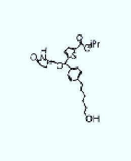 CC(C)OC(=O)c1ccc(C(OC[C@H]2CCC(=O)N2)c2ccc(CCCCCCO)cc2)s1